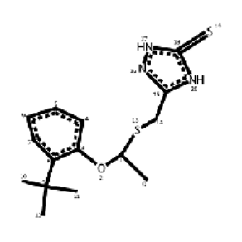 CC(Oc1ccccc1C(C)(C)C)SCc1n[nH]c(=S)[nH]1